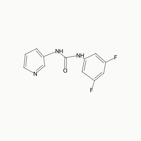 O=C(Nc1cccnc1)Nc1cc(F)cc(F)c1